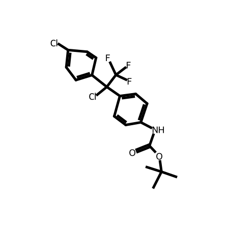 CC(C)(C)OC(=O)Nc1ccc(C(Cl)(c2ccc(Cl)cc2)C(F)(F)F)cc1